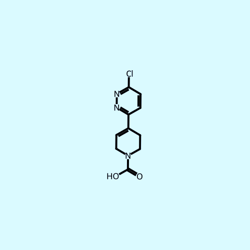 O=C(O)N1CC=C(c2ccc(Cl)nn2)CC1